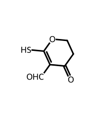 O=CC1=C(S)OCCC1=O